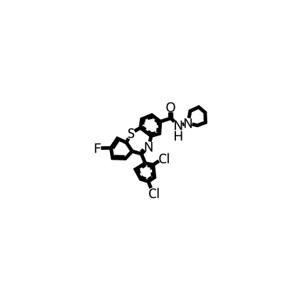 O=C(NN1CCCCC1)c1ccc2c(c1)N=C(c1ccc(Cl)cc1Cl)C1C=CC(F)=CC1S2